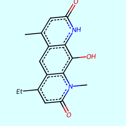 CCc1cc(=O)n(C)c2c(O)c3[nH]c(=O)cc(C)c3cc12